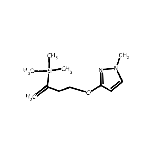 C=C(CCOc1ccn(C)n1)[Si](C)(C)C